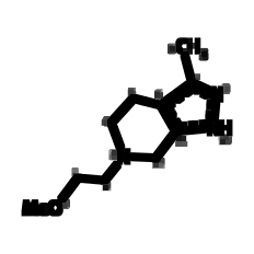 COCCN1CCc2c(C)n[nH]c2C1